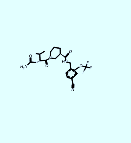 CC(C)[C@@H](CC(N)=O)C(=O)N1CCC[C@@H](C(=O)NCc2ccc(C#N)cc2OC(F)(F)F)C1